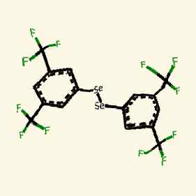 FC(F)(F)c1cc([Se][Se]c2cc(C(F)(F)F)cc(C(F)(F)F)c2)cc(C(F)(F)F)c1